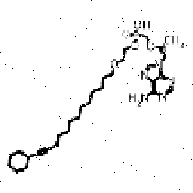 C[C@H](Cn1cnc2c(N)ncnc21)OCP(=O)(O)OCCOCCCCCCCCCCCC#CC1CCCCC1